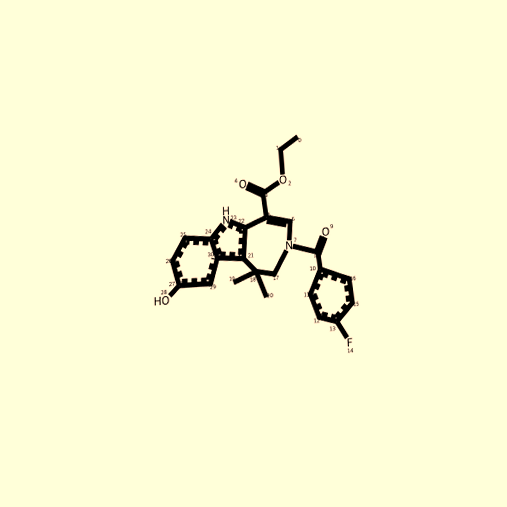 CCOC(=O)C1=CN(C(=O)c2ccc(F)cc2)CC(C)(C)c2c1[nH]c1ccc(O)cc21